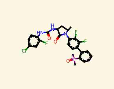 CC1CC(NC(=O)Nc2ccc(Cl)cc2F)C(=O)N1c1ccc(-c2ccccc2P(C)(C)=O)c(F)c1F